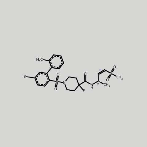 Cc1ccccc1-c1cc(C(C)C)ccc1S(=O)(=O)N1CCC(F)(C(=O)N[C@H](C)/C=C\S(C)(=O)=O)CC1